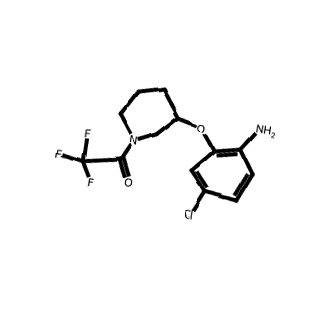 Nc1ccc(Cl)cc1OC1CCCN(C(=O)C(F)(F)F)C1